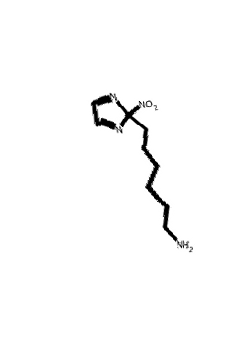 NCCCCCCC1([N+](=O)[O-])N=CC=N1